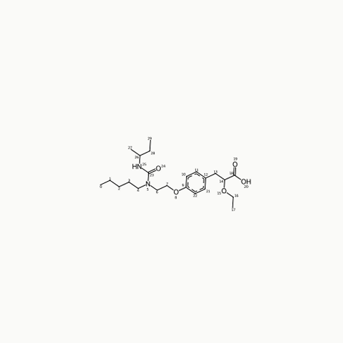 CCCCCN(CCOc1ccc(CC(OCC)C(=O)O)cc1)C(=O)NC(C)CC